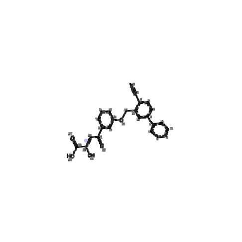 N#Cc1ccc(-c2ccccc2)cc1COc1cccc(C(=O)/C=C(\O)C(=O)O)c1